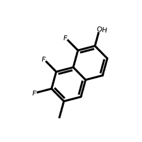 Cc1cc2ccc(O)c(F)c2c(F)c1F